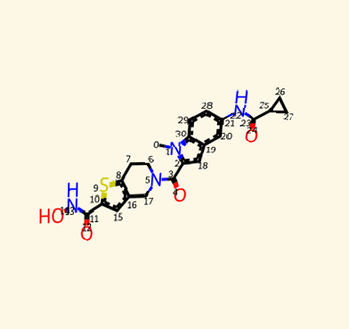 Cn1c(C(=O)N2CCc3sc(C(=O)NO)cc3C2)cc2cc(NC(=O)C3CC3)ccc21